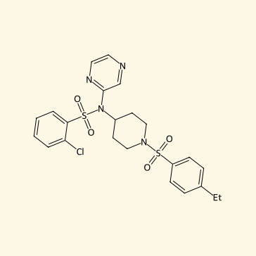 CCc1ccc(S(=O)(=O)N2CCC(N(c3cnccn3)S(=O)(=O)c3ccccc3Cl)CC2)cc1